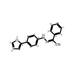 N#CC(=NNc1ccc(-c2cnco2)cc1)c1ccccc1